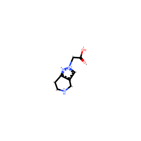 O=C(O)Cn1cc2c(n1)CCNC2